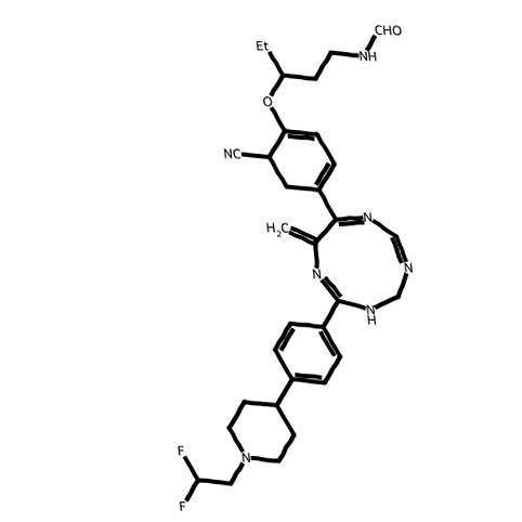 C=C1/N=C(/c2ccc(C3CCN(CC(F)F)CC3)cc2)NC/N=C\N=C/1C1=CC=C(OC(CC)CCNC=O)C(C#N)C1